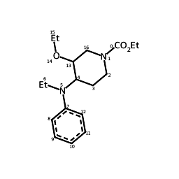 CCOC(=O)N1CCC(N(CC)c2ccccc2)C(OCC)C1